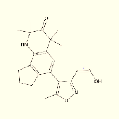 Cc1onc(/C=N\O)c1-c1cc2c(c3c1CCC3)NC(C)(C)C(=O)C2(C)C